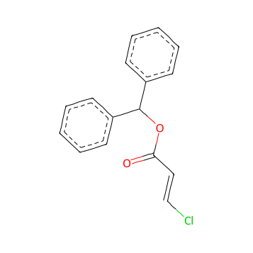 O=C(/C=C/Cl)OC(c1ccccc1)c1ccccc1